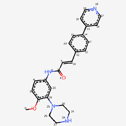 COc1ccc(NC(=O)C=Cc2ccc(-c3ccncc3)cc2)cc1N1CCNCC1